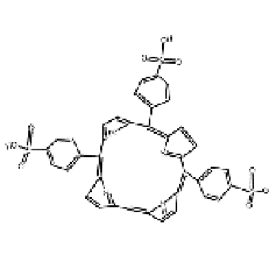 O=S(=O)(O)c1ccc(-c2c3nc(c(-c4ccc(S(=O)(=O)O)cc4)c4ccc([nH]4)c(-c4ccc(S(=O)(=O)O)cc4)c4nc(cc5ccc2[nH]5)C=C4)C=C3)cc1